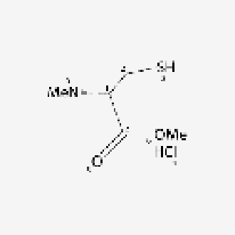 CN[C@H](CS)C(=O)OC.Cl